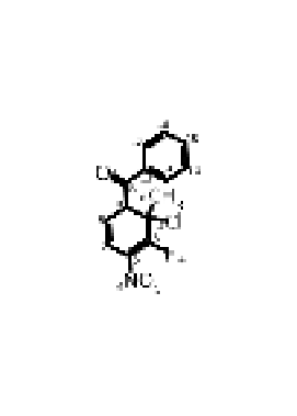 CC1(Cl)C(F)=C([N+](=O)[O-])C=CC1C(=O)c1ccccc1